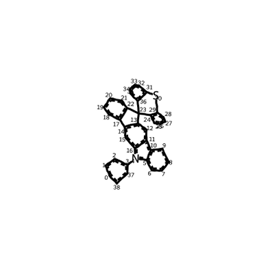 c1ccc(-n2c3ccccc3c3cc4c(cc32)-c2ccccc2C42c3ccccc3Sc3ccccc32)cc1